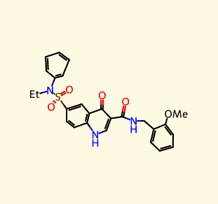 CCN(c1ccccc1)S(=O)(=O)c1ccc2[nH]cc(C(=O)NCc3ccccc3OC)c(=O)c2c1